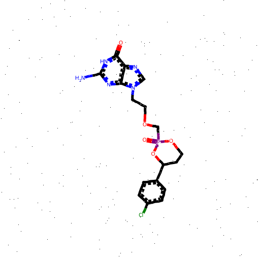 Nc1nc2c(ncn2CCOCP2(=O)OCCC(c3ccc(Cl)cc3)O2)c(=O)[nH]1